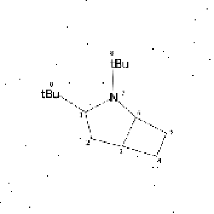 CC(C)(C)C1CC2CCC2N1C(C)(C)C